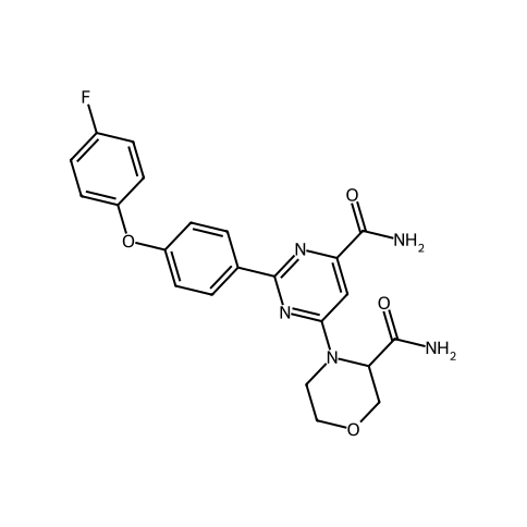 NC(=O)c1cc(N2CCOCC2C(N)=O)nc(-c2ccc(Oc3ccc(F)cc3)cc2)n1